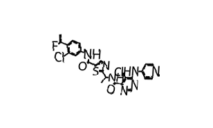 C=C(F)c1ccc(NC(=O)c2cnc(C(C)NC(=O)c3ncnc(Nc4ccncc4)c3Cl)s2)cc1Cl